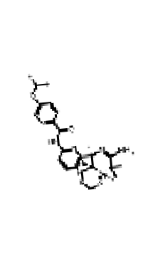 CC1(C)C(N)=N[C@](C)(c2nc(NC(=O)c3ccc(OC(F)F)cn3)ccc2F)[C@H]2CCCN=[S@]21=O